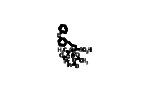 CC(OC(=O)C(C)C)OP(=O)(OC(C)OC(=O)C(C)C)C(CCCc1cccc(Oc2ccccc2)c1)S(=O)(=O)O